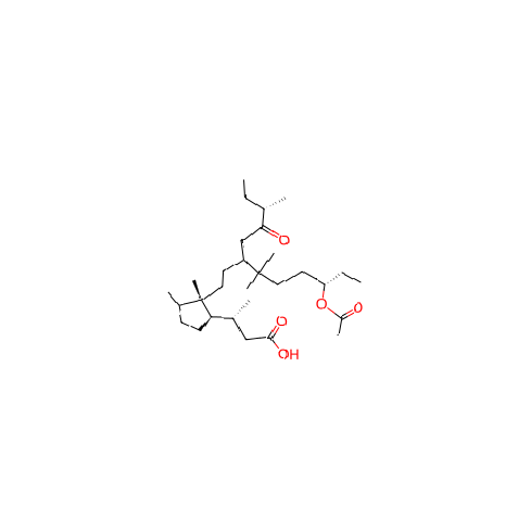 CC[C@@H](CCC(C)(C)C(CC[C@@]1(C)C(C)CC[C@@H]1[C@H](C)CC(=O)O)CC(=O)[C@@H](C)CC)OC(C)=O